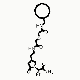 CC[C@H](C(N)=O)N1CC(CCNC(=O)CSCC(=O)NCC2CCCCCCCCC2)CC1=O